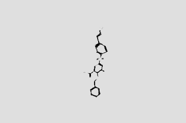 COC(=O)c1cc(S(=O)(=O)c2ccc(CCN)cc2)cc(C)c1OCc1ccccc1